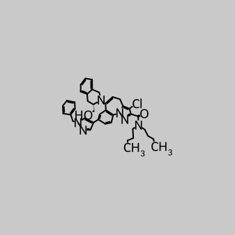 CCCCN(CCCC)C(=O)c1nn2c(c1Cl)CC=C(N1Cc3ccccc3C[C@H]1CO)c1cc(-c3cnn(Cc4ccccc4)c3)ccc1-2